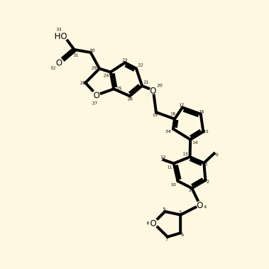 Cc1cc(OC2CCOC2)cc(C)c1-c1cccc(COc2ccc3c(c2)OCC3CC(=O)O)c1